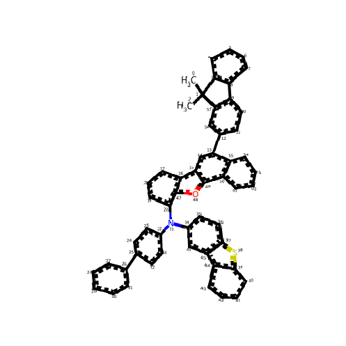 CC1(C)c2ccccc2-c2ccc(-c3cc4c5cccc(N(c6ccc(-c7ccccc7)cc6)c6ccc7sc8ccccc8c7c6)c5oc4c4ccccc34)cc21